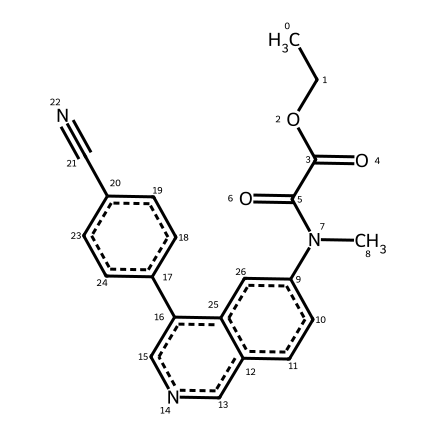 CCOC(=O)C(=O)N(C)c1ccc2cncc(-c3ccc(C#N)cc3)c2c1